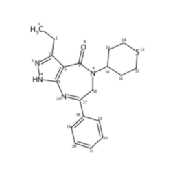 CCc1n[nH]c2c1C(=O)N(C1CCSCC1)CC(c1ccccc1)=N2